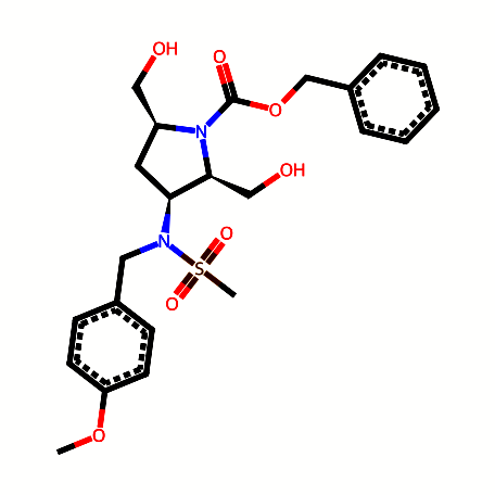 COc1ccc(CN([C@H]2C[C@@H](CO)N(C(=O)OCc3ccccc3)[C@H]2CO)S(C)(=O)=O)cc1